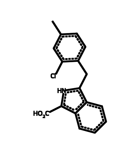 Cc1ccc(Cc2[nH]c(C(=O)O)c3ccccc23)c(Cl)c1